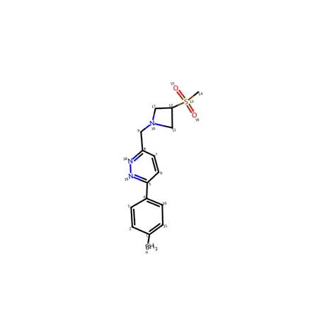 Bc1ccc(-c2ccc(CN3CC(S(C)(=O)=O)C3)nn2)cc1